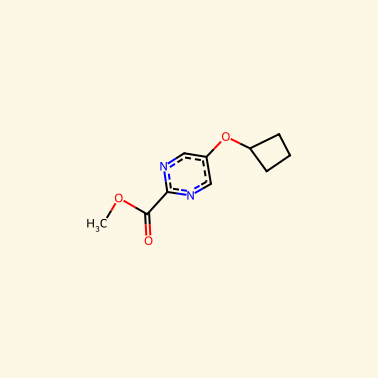 COC(=O)c1ncc(OC2CCC2)cn1